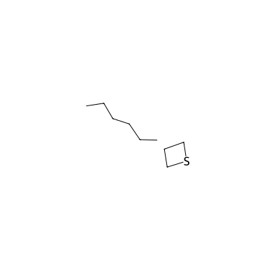 C1CSC1.CCCCCC